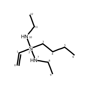 C=C[Si](CCCC)(NCC)NCC